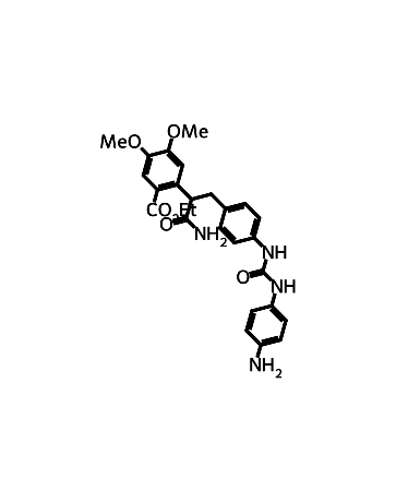 CCOC(=O)c1cc(OC)c(OC)cc1C(Cc1ccc(NC(=O)Nc2ccc(N)cc2)cc1)C(N)=O